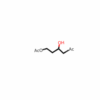 CC(=O)CC(O)CCOC(C)=O